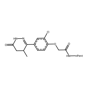 CCCCCNC(=O)COc1ccc(C2=NNC(=O)CC2C)cc1Cl